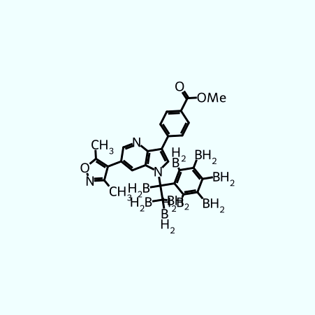 Bc1c(B)c(B)c(C(B)(n2cc(-c3ccc(C(=O)OC)cc3)c3ncc(-c4c(C)noc4C)cc32)C(B)(B)B)c(B)c1B